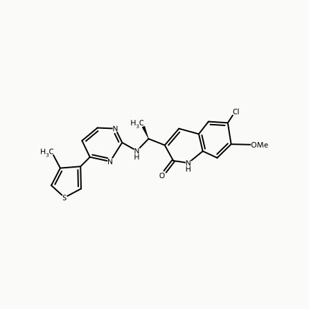 COc1cc2[nH]c(=O)c([C@H](C)Nc3nccc(-c4cscc4C)n3)cc2cc1Cl